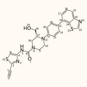 C#Cc1nc(NC(=O)N2CCN(c3ccc(-c4cccc5ncsc45)cc3)[C@H](CO)C2)cs1